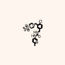 Cc1ccc(NC(=O)NCc2ccc(Cl)c(CN3CCN(S(=O)(=O)N(C)C)CC3)c2)cn1